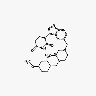 CO[C@H]1CC[C@H](CN2CCN(Cc3ccn4ncc(N5CCC(=O)NC5=O)c4c3)C[C@@H]2C)CC1